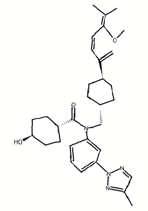 C=C(/C=C\C(OC)=C(C)C)[C@H]1CC[C@H](CN(c2cccc(-n3ncc(C)n3)c2)C(=O)[C@H]2CC[C@H](O)CC2)CC1